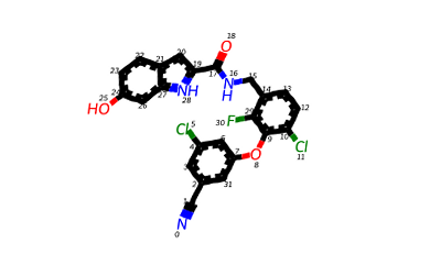 N#Cc1cc(Cl)cc(Oc2c(Cl)ccc(CNC(=O)c3cc4ccc(O)cc4[nH]3)c2F)c1